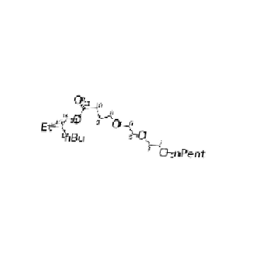 CCCCCOCCOCCOCCCC(=O)OCC(CC)CCCC